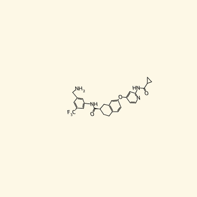 NCc1cc(NC(=O)[C@@H]2CCc3ccc(Oc4ccnc(NC(=O)C5CC5)c4)cc3C2)cc(C(F)(F)F)c1